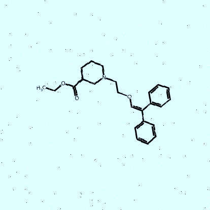 CCOC(=O)C1CCCN(CCOC=C(c2ccccc2)c2ccccc2)C1